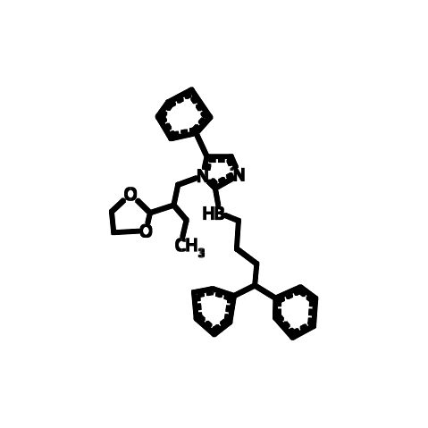 CCC(Cn1c(-c2ccccc2)cnc1BCCCC(c1ccccc1)c1ccccc1)C1OCCO1